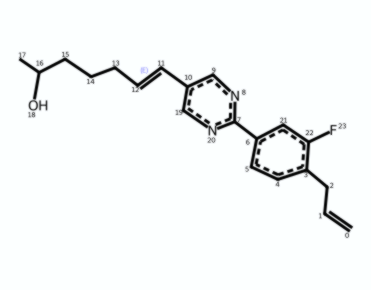 C=CCc1ccc(-c2ncc(/C=C/CCCC(C)O)cn2)cc1F